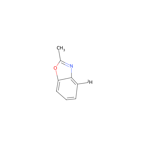 [2H]c1cccc2oc(C)nc12